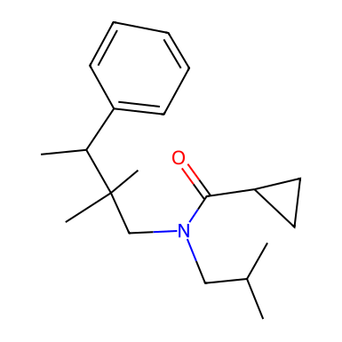 CC(C)CN(CC(C)(C)C(C)c1ccccc1)C(=O)C1CC1